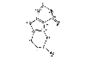 CC(=O)C1CCc2sc3nc[nH]c(=O)c3c2C1